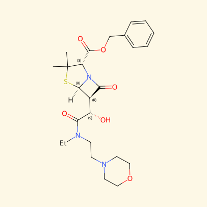 CCN(CCN1CCOCC1)C(=O)[C@@H](O)[C@@H]1C(=O)N2[C@@H]1SC(C)(C)[C@@H]2C(=O)OCc1ccccc1